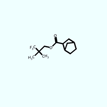 CC(C)(COC(=O)C1CC2CCC1C2)C(F)(F)F